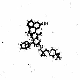 C#Cc1cccc2cc(O)cc(-c3c(C(F)(F)F)cc4c(N5CC6CCC(C5)N6)nc(OCC5(CN6CCC7(CC6)CC7(F)F)CC5)nc4c3F)c12